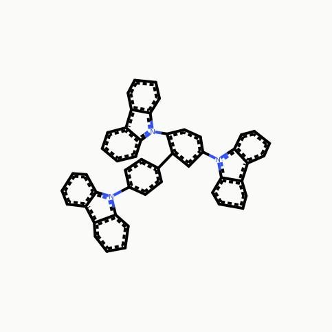 c1ccc2c(c1)c1ccccc1n2-c1ccc(-c2cc(-n3c4ccccc4c4ccccc43)ccc2-n2c3ccccc3c3ccccc32)cc1